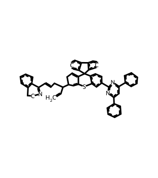 C=CC(C/C=C/C1=NCCc2ccccc21)C1C=C2Sc3cc(-c4nc(-c5ccccc5)cc(-c5ccccc5)n4)ccc3C3(C2=CC1)c1ccccc1-c1ccccc13